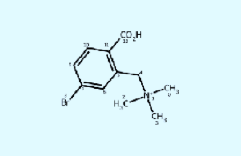 C[N+](C)(C)Cc1cc(Br)ccc1C(=O)O